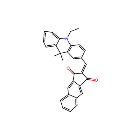 CCN1c2ccccc2C(C)(C)c2cc(C=C3C(=O)c4cc5ccccc5cc4C3=O)ccc21